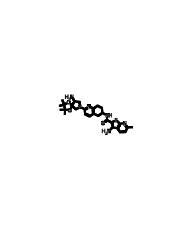 Cc1ccc2c(N)c(C(=O)NC3CCc4nc(N5CC(N)C6(C5)OC(C)(C)C(C)(C)O6)ccc4C3)sc2n1